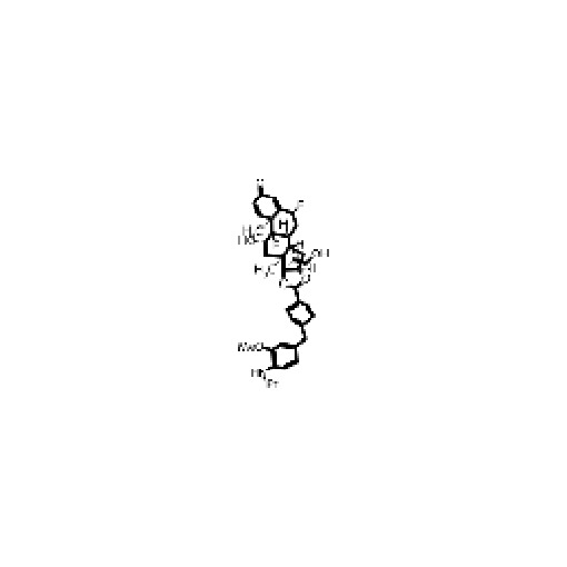 COc1cc(Cc2ccc(C3O[C@@H]4C[C@H]5[C@@H]6C[C@H](F)C7=CC(=O)C=C[C@]7(C)[C@@]6(F)[C@@H](O)C[C@]5(C)[C@]4(C(=O)CO)O3)cc2)ccc1NC(C)C